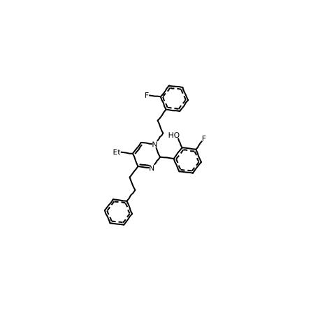 CCC1=CN(CCc2ccccc2F)C(c2cccc(F)c2O)N=C1CCc1ccccc1